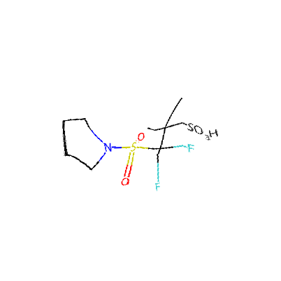 CC(C)(C(F)(F)S(=O)(=O)N1CCCC1)S(=O)(=O)O